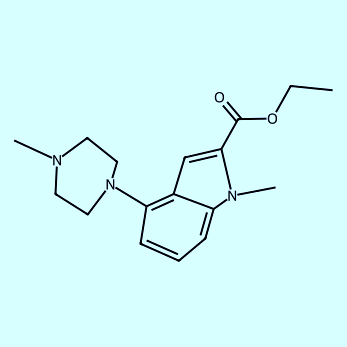 CCOC(=O)c1cc2c(N3CCN(C)CC3)cccc2n1C